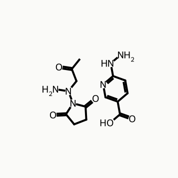 CC(=O)CN(N)N1C(=O)CCC1=O.NNc1ccc(C(=O)O)cn1